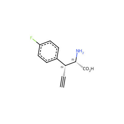 C#C[C@H](c1ccc(F)cc1)[C@H](N)C(=O)O